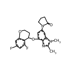 Cc1nc2c(OC3CCOc4cc(F)cc(F)c43)cc(N3CCCC3=O)cc2n1C